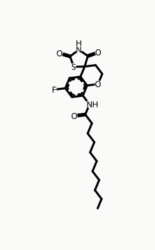 CCCCCCCCCCC(=O)Nc1cc(F)cc2c1OCCC21SC(=O)NC1=O